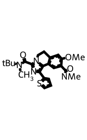 CNC(=O)c1cc2c(cc1OC)CCn1c(C(=O)N(C)C(C)(C)C)nc(-c3cccs3)c1-2